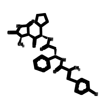 C/C(=C\c1ccc(Cl)cc1)C(=O)N[C@@H](CC(=O)N[C@H](C(=O)[C@@H]1C(=O)NC(=O)[C@H]1C)C1CCCC1)c1ccccc1